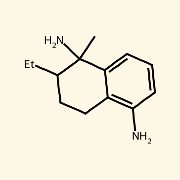 CCC1CCc2c(N)cccc2C1(C)N